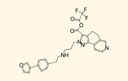 O=C(OC(=O)C(F)(F)F)c1c2c(nn1CCCNCCc1ccc(-c3ccoc3)cc1)-c1ccncc1CC2